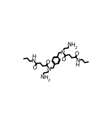 CCCNC(=O)CCC(=O)N(CCN)Cc1ccc(CN(CCN)C(=O)CCC(=O)NCCC)cc1